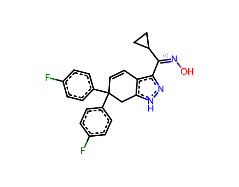 O/N=C(\c1n[nH]c2c1C=CC(c1ccc(F)cc1)(c1ccc(F)cc1)C2)C1CC1